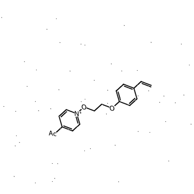 C=Cc1ccc(OCCO[n+]2ccc(C(C)=O)cc2)cc1